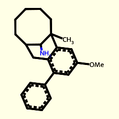 COc1cc(-c2ccccc2)c2c(c1)C1(C)CCCCCC(C2)C1N